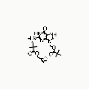 CC(C)(C)C(=O)OCC1CO1.CC(C)(C)C(=O)OCN1CNc2c1nc(N)[nH]c2=O